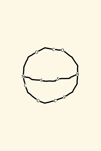 C1COCCN2CCSCCOCCN(CCO1)CCSCCSCC2